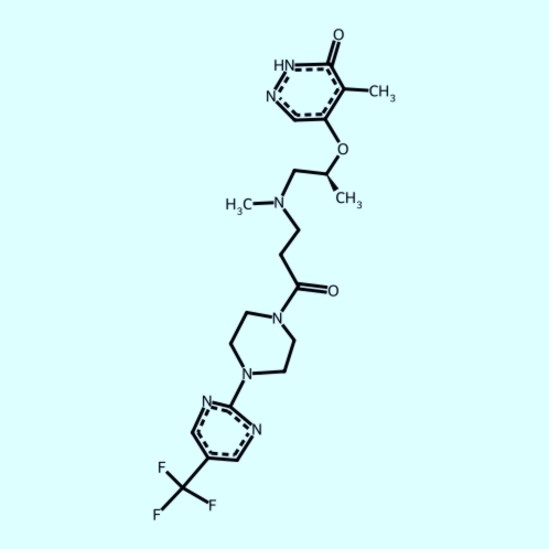 Cc1c(O[C@@H](C)CN(C)CCC(=O)N2CCN(c3ncc(C(F)(F)F)cn3)CC2)cn[nH]c1=O